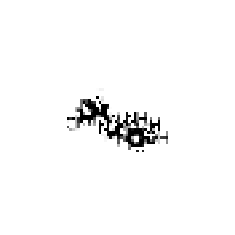 NN(c1nc(-c2c[nH]c3ncc(Cl)cc23)ncc1F)[C@H]1CCC[C@@H](O)[C@H]1O